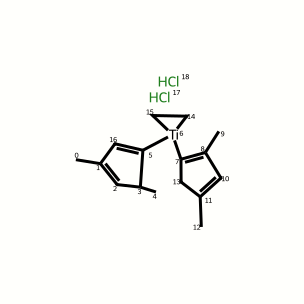 CC1=CC(C)[C]([Ti]2([C]3=C(C)C=C(C)C3)[CH2][CH2]2)=C1.Cl.Cl